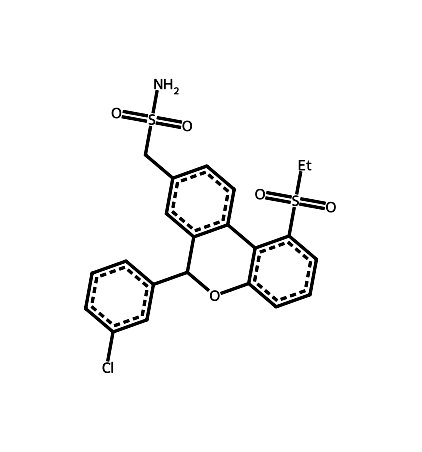 CCS(=O)(=O)c1cccc2c1-c1ccc(CS(N)(=O)=O)cc1C(c1cccc(Cl)c1)O2